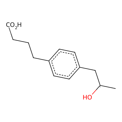 C[C](O)Cc1ccc(CCCC(=O)O)cc1